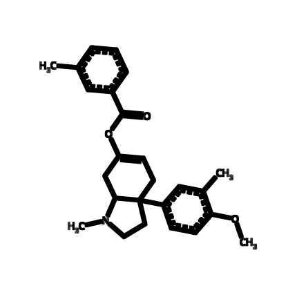 COc1ccc(C23CC=C(OC(=O)c4cccc(C)c4)CC2N(C)CC3)cc1C